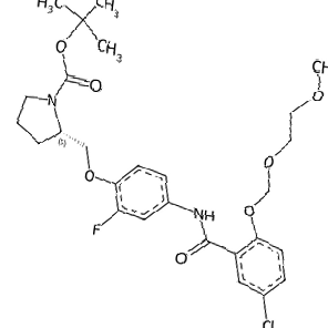 COCCOCOc1ccc(Cl)cc1C(=O)Nc1ccc(OC[C@@H]2CCCN2C(=O)OC(C)(C)C)c(F)c1